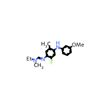 CCN(C)C=Nc1cc(C)c(Nc2cccc(OC)c2)cc1F